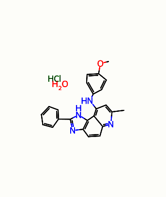 COc1ccc(Nc2cc(C)nc3ccc4nc(-c5ccccc5)[nH]c4c23)cc1.Cl.O